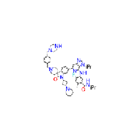 Cc1cc(F)c(Nc2nc(-c3ccc4c(c3)N(C3CC(N5CCCCC5)C3)C(=O)C43CCN(Cc4ccc(CN5CCNCC5)cc4)CC3)cc3ncn(C(C)C)c23)cc1C(=O)NC(C)C